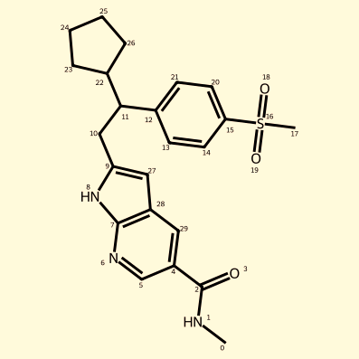 CNC(=O)c1cnc2[nH]c(CC(c3ccc(S(C)(=O)=O)cc3)C3CCCC3)cc2c1